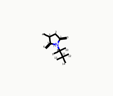 C=C1CC(C)C(=C)N1C(C)(C)C(C)(C)C